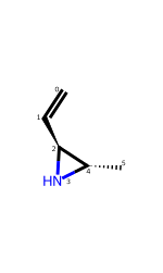 C=C[C@@H]1N[C@H]1C